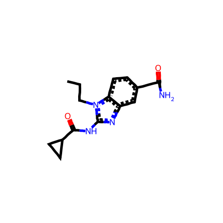 CCCn1c(NC(=O)C2CC2)nc2cc(C(N)=O)ccc21